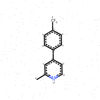 Cc1cc(-c2ccc(C(F)(F)F)cc2)ccn1